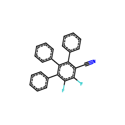 N#Cc1c(F)c(F)c(-c2ccccc2)c(-c2ccccc2)c1-c1ccccc1